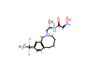 C[C@@H](CN1CCCCc2ccc(C(C)(F)F)cc2C1)NC(=O)/C=N\O